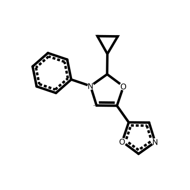 [C]1=C(c2cnco2)OC(C2CC2)N1c1ccccc1